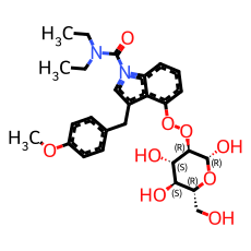 CCN(CC)C(=O)n1cc(Cc2ccc(OC)cc2)c2c(OO[C@@H]3[C@@H](O)[C@H](O)[C@@H](CO)O[C@H]3O)cccc21